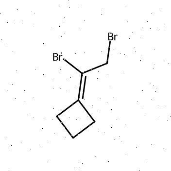 BrCC(Br)=C1CCC1